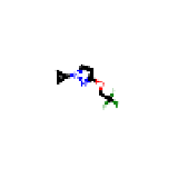 FC(F)(F)COc1ccn(C2CC2)n1